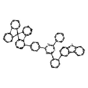 c1ccc(-c2nc(-c3ccc(-c4cccc5c4-c4ccccc4C54c5ccccc5-c5ccccc54)cc3)nc(-c3ccccc3-c3ccc4sc5ccccc5c4c3)n2)cc1